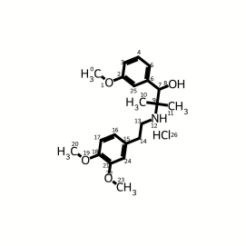 COc1cccc(C(O)C(C)(C)NCCc2ccc(OC)c(OC)c2)c1.Cl